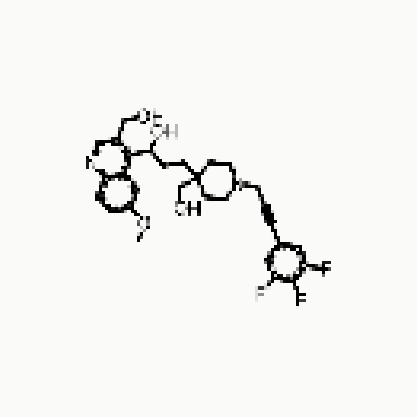 COc1ccc2ncc(CO)c(C(O)CCC3(CO)CCN(CC#Cc4cc(F)c(F)c(F)c4)CC3)c2c1